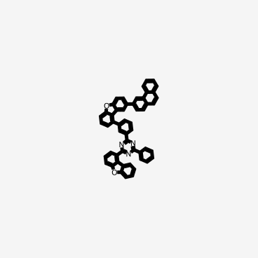 c1ccc(-c2nc(-c3cccc(-c4cccc5oc6ccc(-c7ccc8ccc9ccccc9c8c7)cc6c45)c3)nc(-c3cccc4oc5ccccc5c34)n2)cc1